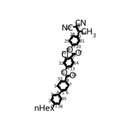 CCCCCCc1ccc(-c2ccc(C(=O)Oc3ccc(C(=O)Oc4ccc(C(C)=C(C#N)C#N)cc4)c(Cl)c3)cc2)cc1